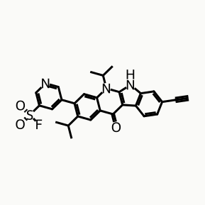 C#Cc1ccc2c(c1)[nH]c1c2c(=O)c2cc(C(C)C)c(-c3cncc(S(=O)(=O)F)c3)cc2n1C(C)C